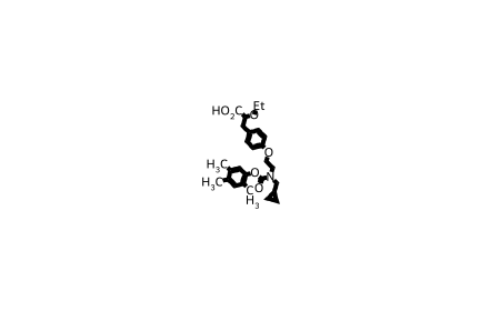 CCOC(Cc1ccc(OCCN(CC2CC2)C(=O)Oc2cc(C)c(C)cc2C)cc1)C(=O)O